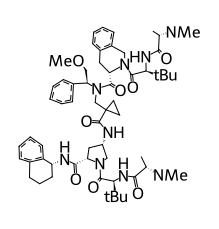 CN[C@@H](C)C(=O)N[C@H](C(=O)N1C[C@@H](NC(=O)C2(CN(C(=O)[C@@H]3Cc4ccccc4CN3C(=O)[C@@H](NC(=O)[C@H](C)NC)C(C)(C)C)[C@H](COC)c3ccccc3)CC2)C[C@H]1C(=O)N[C@@H]1CCCc2ccccc21)C(C)(C)C